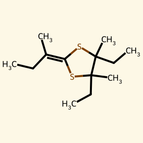 CCC(C)=C1SC(C)(CC)C(C)(CC)S1